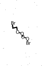 BrCCOOOOBr